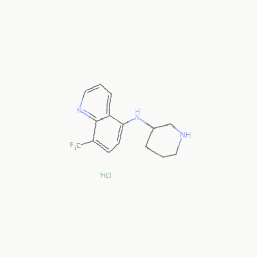 Cl.FC(F)(F)c1ccc(NC2CCCNC2)c2cccnc12